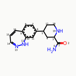 NC(=O)C1CC(c2ccc3c(c2)NN=CC=C3)CCN1